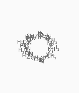 CC=CC[C@@H](C)[C@@H](O)[C@H]1C(=O)N[C@@H](C(C)O)C(=O)N(C)[C@H](CC)C(=O)N(C)[C@@H](C(C)CC)C(=O)N[C@@H](CC(C)C)C(=O)N(C)[C@@H](CC(C)C)C(=O)N[C@@H](C)C(=O)N[C@H](C)C(=O)N(C)[C@@H](CC(C)C)C(=O)N[C@@H](CC(C)C)C(=O)N(C)[C@@H](C(C)C)C(=O)N1C